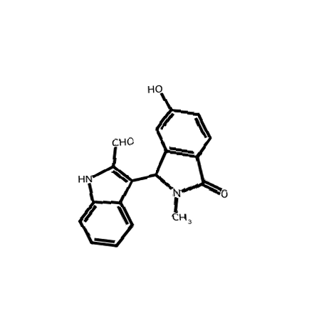 CN1C(=O)c2ccc(O)cc2C1c1c(C=O)[nH]c2ccccc12